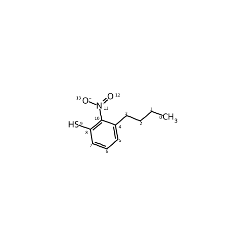 CCCCc1cccc(S)c1[N+](=O)[O-]